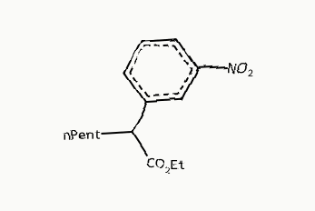 CCCCCC(C(=O)OCC)c1cccc([N+](=O)[O-])c1